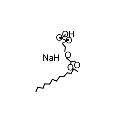 CCCCCCCCCCCC1(C)OCC(COCCCS(=O)(=O)O)O1.[NaH]